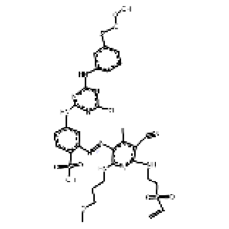 C=CS(=O)(=O)CCNc1nc(NCCCOC)c(/N=N/c2cc(Nc3nc(Cl)nc(Nc4cccc(SOOO)c4)n3)ccc2S(=O)(=O)O)c(C)c1C#N